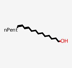 CCCCC/C=C\C=C\CCCCCCCCCO